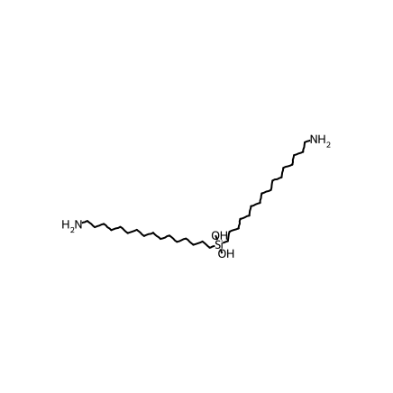 NCCCCCCCCCCCCCCCC[Si](O)(O)CCCCCCCCCCCCCCCCN